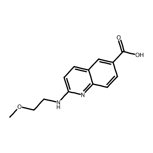 COCCNc1ccc2cc(C(=O)O)ccc2n1